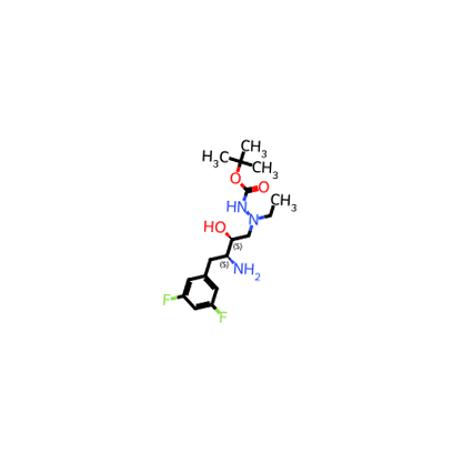 CCN(C[C@H](O)[C@@H](N)Cc1cc(F)cc(F)c1)NC(=O)OC(C)(C)C